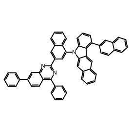 c1ccc(-c2ccc3c(-c4ccccc4)nc(-c4cc(-n5c6cc7ccccc7cc6c6c(-c7ccc8ccccc8c7)cccc65)c5ccccc5c4)nc3c2)cc1